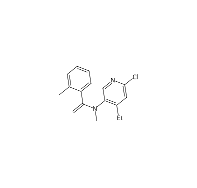 C=C(c1ccccc1C)N(C)c1cnc(Cl)cc1CC